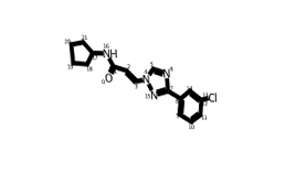 O=C(C=Cn1cnc(-c2cccc(Cl)c2)n1)NC1CCCC1